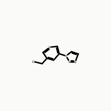 ClCc1cncc(-n2ccnn2)c1